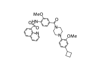 COc1cc(C(=O)N2CCN(c3ccc(C4CCC4)cc3OC)CC2)ccc1NS(=O)(=O)c1cccc2cccnc12